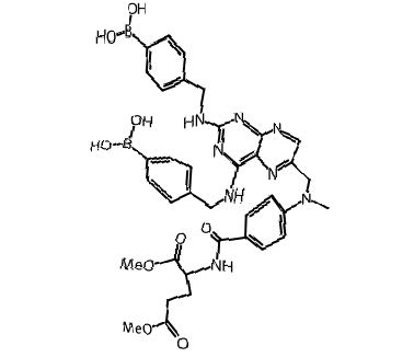 COC(=O)CCC(NC(=O)c1ccc(N(C)Cc2cnc3nc(NCc4ccc(B(O)O)cc4)nc(NCc4ccc(B(O)O)cc4)c3n2)cc1)C(=O)OC